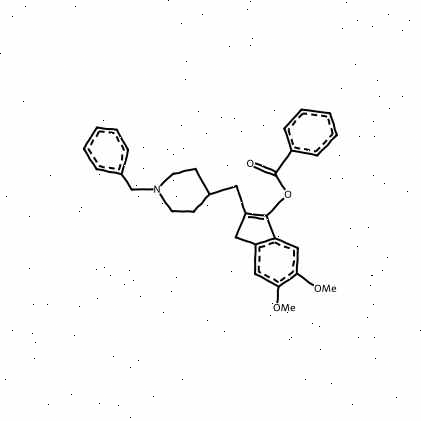 COc1cc2c(cc1OC)C(OC(=O)c1ccccc1)=C(CC1CCN(Cc3ccccc3)CC1)C2